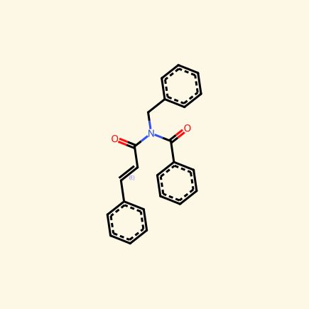 O=C(/C=C/c1ccccc1)N(Cc1ccccc1)C(=O)c1ccccc1